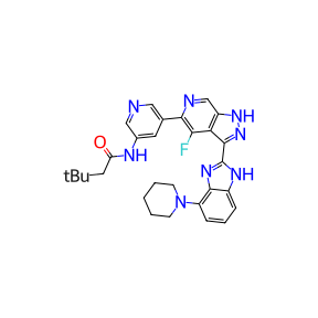 CC(C)(C)CC(=O)Nc1cncc(-c2ncc3[nH]nc(-c4nc5c(N6CCCCC6)cccc5[nH]4)c3c2F)c1